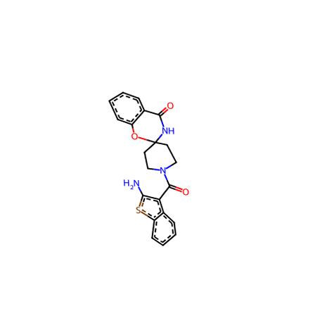 Nc1sc2ccccc2c1C(=O)N1CCC2(CC1)NC(=O)c1ccccc1O2